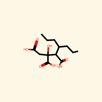 CCCC(CCC)C(C(=O)O)C(O)(CC(=O)O)C(=O)O